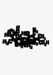 C=C[C@@H](CN(C)[C@H](C)[C@@H](O)C(C)(O)CCC)CC(C)(O)[C@H](O)[C@@H](C)[C@H](O)[C@@H](C)C(=O)O